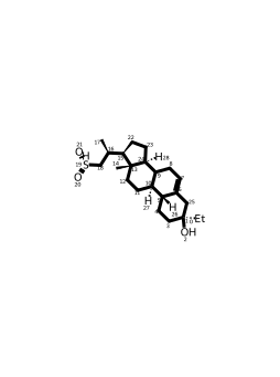 CC[C@]1(O)CC[C@H]2C(=CCC3[C@@H]2CC[C@]2(C)[C@@H]([C@H](C)C[SH](=O)=O)CC[C@@H]32)C1